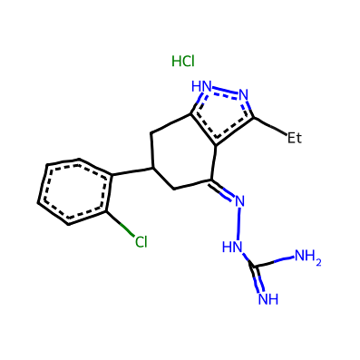 CCc1n[nH]c2c1C(=NNC(=N)N)CC(c1ccccc1Cl)C2.Cl